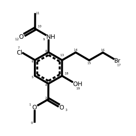 COC(=O)c1cc(Cl)c(NC(C)=O)c(CCCBr)c1O